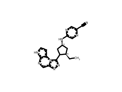 CC[C@@H]1C[C@H](Nc2cnc(C#N)cn2)CC1c1nnc2cnc3[nH]ccc3n12